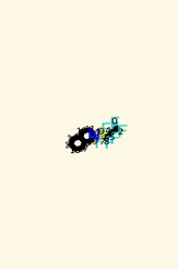 FC(F)C(F)(F)C(F)(F)SN1CCC2CCCCC2C1